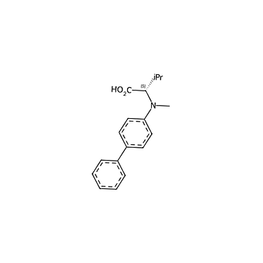 CC(C)[C@@H](C(=O)O)N(C)c1ccc(-c2ccccc2)cc1